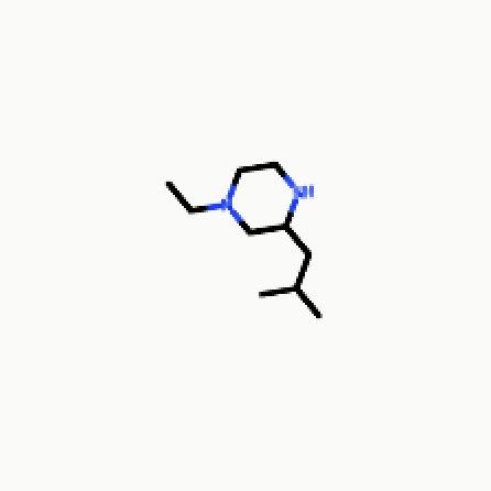 CCN1CCNC(CC(C)C)C1